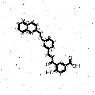 O=C(O)c1ccc(O)c(C(=O)/C=C/c2cccc(OCc3ccc4ccccc4n3)c2)c1